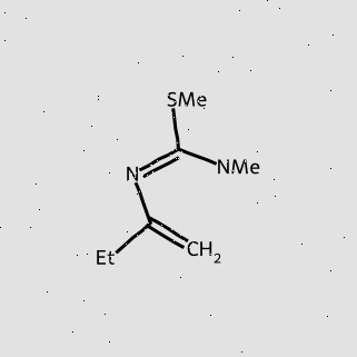 C=C(CC)/N=C(\NC)SC